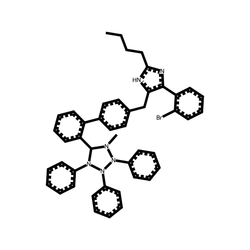 CCCCc1nc(-c2ccccc2Br)c(Cc2ccc(-c3ccccc3C3N(C)N(c4ccccc4)N(c4ccccc4)N3c3ccccc3)cc2)[nH]1